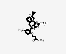 CNC(=O)CCOc1ccc(C)cc1-c1nc2nc(C(=O)O)nc(NCCC3CC3)c2n1Cc1ccc(Cl)cc1